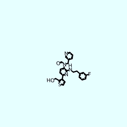 O=CN(Cc1cccnc1)c1ccc(-c2ccsc2CO)nc1NCCc1cccc(F)c1